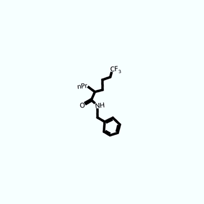 CCCC(CCCC(F)(F)F)C(=O)NCc1ccccc1